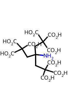 NC(CC(C(=O)O)(C(=O)O)C(=O)O)(CC(C(=O)O)(C(=O)O)C(=O)O)CC(C(=O)O)(C(=O)O)C(=O)O